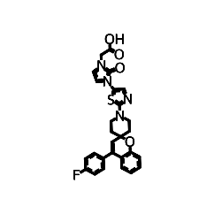 O=C(O)Cn1ccn(-c2cnc(N3CCC4(C=C(c5ccc(F)cc5)c5ccccc5O4)CC3)s2)c1=O